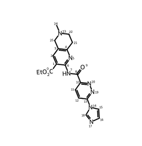 CCOC(=O)c1cc2c(nc1NC(=O)c1ccc(-n3ccnc3)nn1)CCN(C)C2